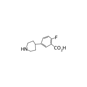 O=C(O)c1cc(C2CCNCC2)ccc1F